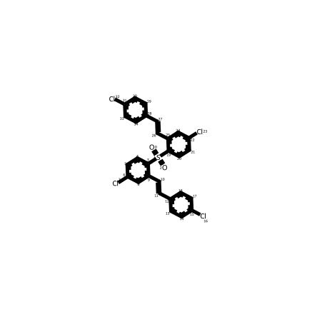 O=S(=O)(c1ccc(Cl)cc1/C=C/c1ccc(Cl)cc1)c1ccc(Cl)cc1/C=C/c1ccc(Cl)cc1